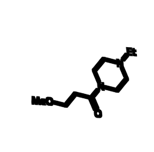 CCN1CCN(C(=O)CCOC)CC1